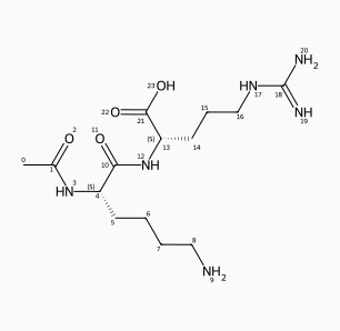 CC(=O)N[C@@H](CCCCN)C(=O)N[C@@H](CCCNC(=N)N)C(=O)O